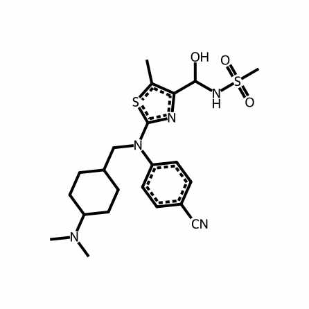 Cc1sc(N(CC2CCC(N(C)C)CC2)c2ccc(C#N)cc2)nc1C(O)NS(C)(=O)=O